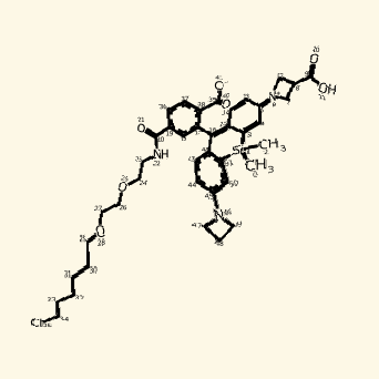 C[Si]1(C)C2=CC(=[N+]3CC(C(=O)O)C3)C=CC2=C(c2cc(C(=O)NCCOCCOCCCCCCCl)ccc2C(=O)[O-])c2ccc(N3CCC3)cc21